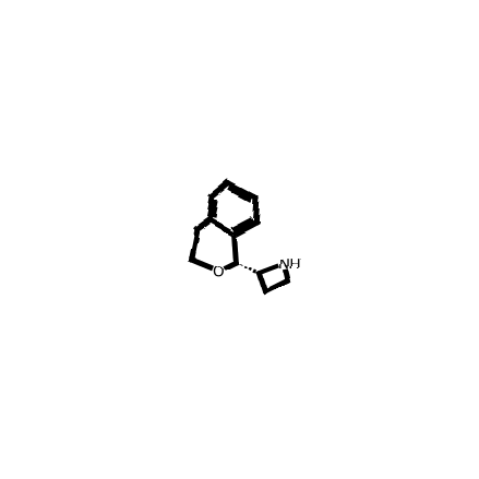 c1ccc2c(c1)CCO[C@H]2C1CCN1